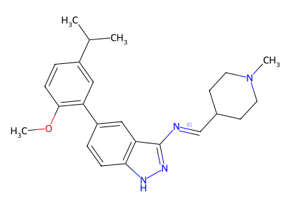 COc1ccc(C(C)C)cc1-c1ccc2[nH]nc(/N=C/C3CCN(C)CC3)c2c1